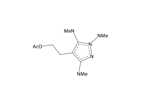 CNc1nn(NC)c(NC)c1CCOC(C)=O